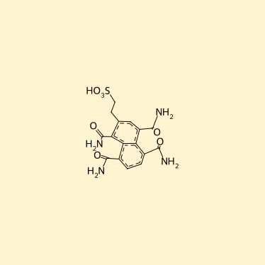 NC(=O)c1ccc(C(N)=O)c2c(C(N)=O)c(CCS(=O)(=O)O)cc(C(N)=O)c12